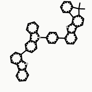 CC1(C)c2ccccc2-c2c1ccc1c2sc2c(-c3ccc(-n4c5ccccc5c5cc(-c6cccc7c6oc6ccccc67)ccc54)cc3)cccc21